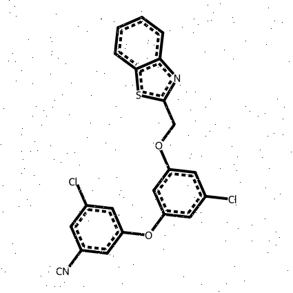 [C-]#[N+]c1cc(Cl)cc(Oc2cc(Cl)cc(OCc3nc4ccccc4s3)c2)c1